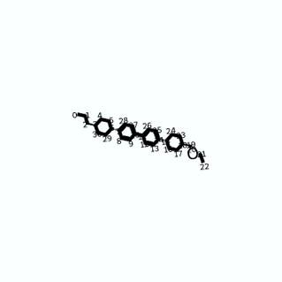 CCC[C@H]1CC[C@H](c2ccc(-c3ccc([C@H]4CC[C@H](COCC)CC4)cc3)cc2)CC1